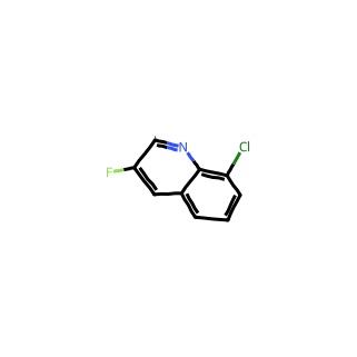 Fc1[c]nc2c(Cl)cccc2c1